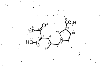 CCC(=O)C(CC(C)CN1CCC(C(=O)O)C1)=NO